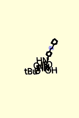 CC(C)(C)OC(=O)NC[C@H](NCc1ccc(/C=C/c2ccccc2)cc1)C(=O)NO